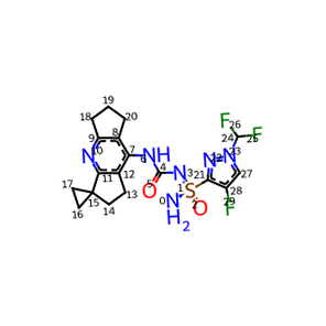 N[S@@](=O)(=NC(=O)Nc1c2c(nc3c1CCC31CC1)CCC2)c1nn(C(F)F)cc1F